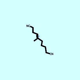 C/C(=C\CCC#N)CCCCC#N